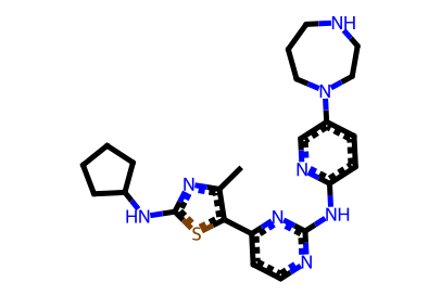 Cc1nc(NC2CCCC2)sc1-c1ccnc(Nc2ccc(N3CCCNCC3)cn2)n1